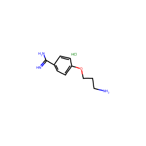 Cl.N=C(N)c1ccc(OCCCN)cc1